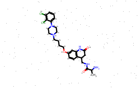 CC(N)C(=O)NCC1CC(=O)Nc2cc(OCCCCN3CCN(c4cccc(Cl)c4Cl)CC3)ccc21